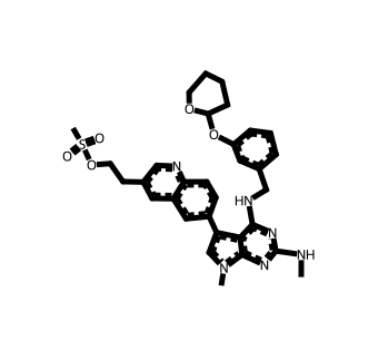 CNc1nc(NCc2cccc(OC3CCCCO3)c2)c2c(-c3ccc4ncc(CCOS(C)(=O)=O)cc4c3)cn(C)c2n1